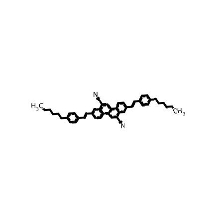 CCCCCCc1ccc(/C=C/c2ccc3c(c2)c(C#N)cc2c4ccc(/C=C/c5ccc(CCCCCC)cc5)cc4c(C#N)cc32)cc1